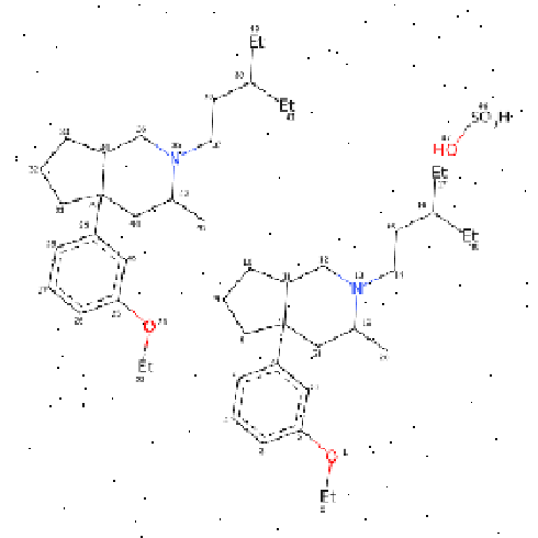 CCOc1cccc(C23CCCC2CN(CCC(CC)CC)C(C)C3)c1.CCOc1cccc(C23CCCC2CN(CCC(CC)CC)C(C)C3)c1.O=S(=O)(O)O